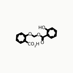 O=C(OCOc1ccccc1C(=O)O)c1ccccc1O